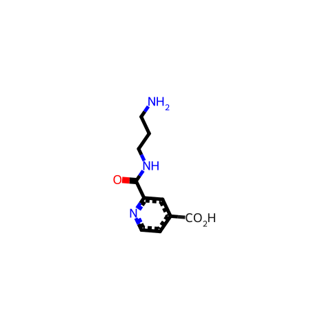 NCCCNC(=O)c1cc(C(=O)O)ccn1